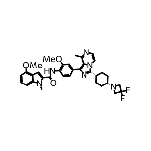 COc1cc(-c2nc([C@H]3CC[C@@H](N4CC(F)(F)C4)CC3)n3ccnc(C)c23)ccc1NC(=O)c1cc2c(OC)cccc2n1C